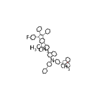 CC1(C)c2cc(-c3ccc(N(c4ccc(-c5ccccc5)cc4)c4ccc(C(C)(Cc5ccccc5)c5ccccc5)cc4)c4ccccc34)ccc2-c2cc3c(cc21)C(c1ccc(F)cc1)C(c1ccccc1)=C3c1ccccc1